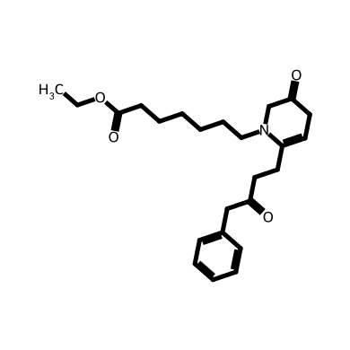 CCOC(=O)CCCCCCN1CC(=O)CC=C1CCC(=O)Cc1ccccc1